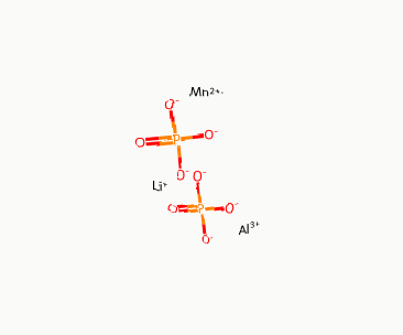 O=P([O-])([O-])[O-].O=P([O-])([O-])[O-].[Al+3].[Li+].[Mn+2]